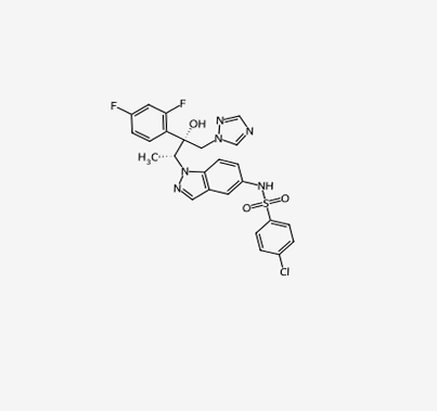 C[C@@H](n1ncc2cc(NS(=O)(=O)c3ccc(Cl)cc3)ccc21)[C@](O)(Cn1cncn1)c1ccc(F)cc1F